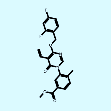 C=Cc1c(OCc2ccc(F)cc2F)ncn(-c2cc(C(=O)OC)ccc2C)c1=O